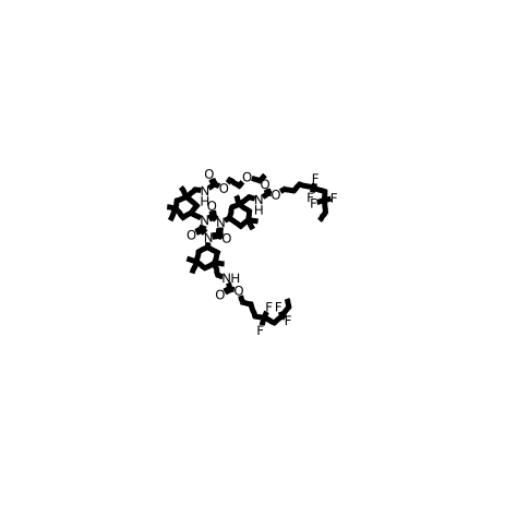 CCOCCOC(=O)NCC1(C)CC(n2c(=O)n(C3CC(C)(C)CC(C)(CNC(=O)OCCCC(F)(F)CC(F)(F)CC)C3)c(=O)n(C3CC(C)(C)CC(C)(CNC(=O)OCCCC(F)(F)CC(F)(F)CC)C3)c2=O)CC(C)(C)C1